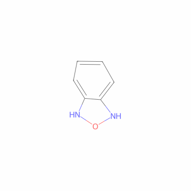 c1ccc2c(c1)NON2